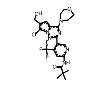 CC(C)(C)C(=O)Nc1cc(C(F)(F)F)c(-c2nc(N3CCOCC3)c3cc(CO)c(Cl)n3n2)cn1